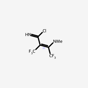 CN/C(=C(\C(=N)Cl)C(F)(F)F)C(F)(F)F